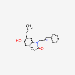 C=CCc1cc2c(cc1O)CCC(=O)N2C/C=C/c1ccccc1